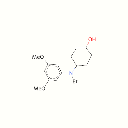 CCN(c1cc(OC)cc(OC)c1)C1CCC(O)CC1